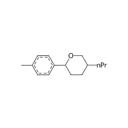 CCCC1CCC(c2ccc(C)cc2)OC1